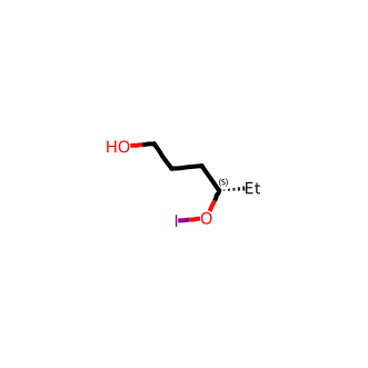 CC[C@@H](CCCO)OI